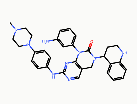 CN1CCN(c2ccc(Nc3ncc4c(n3)N(c3cccc(N)c3)C(=O)N(C3CCNc5ccccc53)C4)cc2)CC1